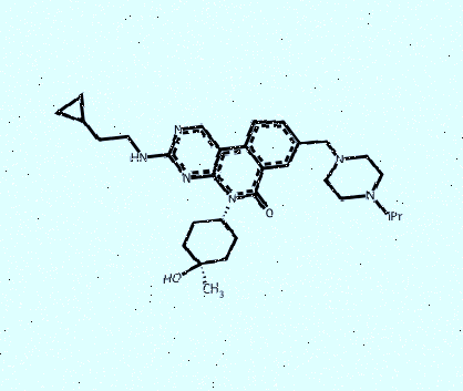 CC(C)N1CCN(Cc2ccc3c(c2)c(=O)n([C@H]2CC[C@](C)(O)CC2)c2nc(NCCC4CC4)ncc32)CC1